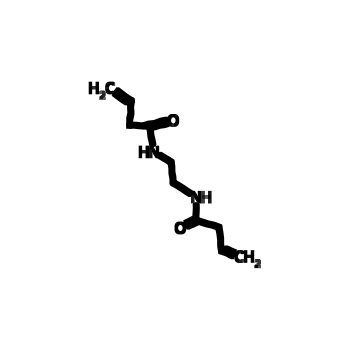 C=CCC(=O)NCCNC(=O)CC=C